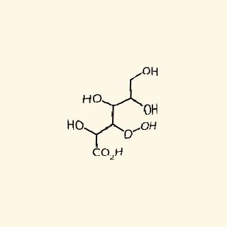 O=C(O)C(O)C(OO)C(O)C(O)CO